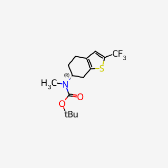 CN(C(=O)OC(C)(C)C)[C@@H]1CCc2cc(C(F)(F)F)sc2C1